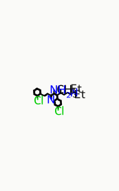 CCN(CC)CCCC(C)c1c(N)c(C=Cc2ccccc2Cl)nc2cc(Cl)ccc12